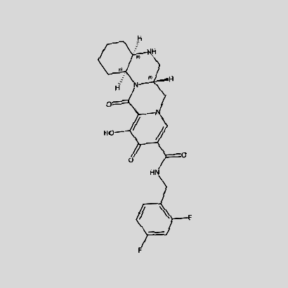 O=C(NCc1ccc(F)cc1F)c1cn2c(c(O)c1=O)C(=O)N1[C@H](CN[C@@H]3CCCC[C@@H]31)C2